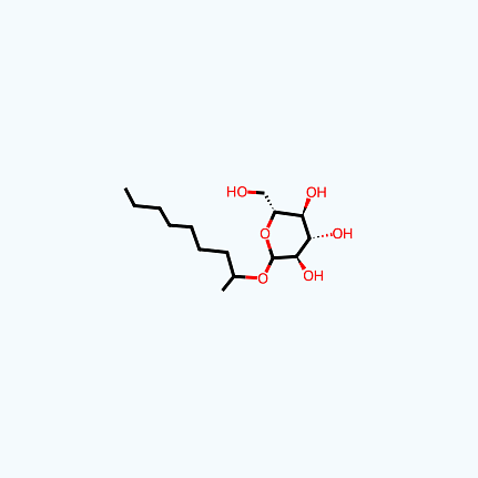 CCCCCCCC(C)OC1O[C@H](CO)[C@@H](O)[C@H](O)[C@H]1O